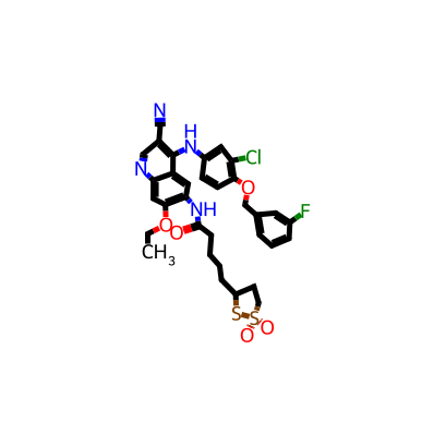 CCOc1cc2ncc(C#N)c(Nc3ccc(OCc4cccc(F)c4)c(Cl)c3)c2cc1NC(=O)CCCCC1CCS(=O)(=O)S1